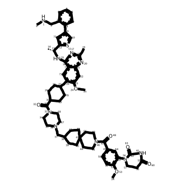 CNCc1ccccc1-c1csc([C@@H](C)Nc2nc(C)nc3cc(OC)c(C4CCC(C(=O)N5CCN(CC6CCC7(CC6)CCN(C(=O)c6ccc(OC)c(N8CCC(=O)NC8=O)c6)CC7)CC5)CC4)cc23)c1